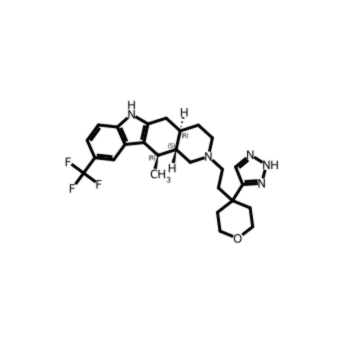 C[C@H]1c2c([nH]c3ccc(C(F)(F)F)cc23)C[C@H]2CCN(CCC3(c4cn[nH]n4)CCOCC3)C[C@@H]21